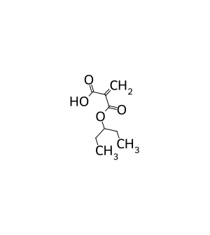 C=C(C(=O)O)C(=O)OC(CC)CC